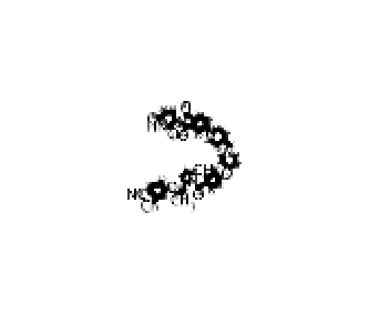 CC(CC1CCC(C)N1C(=O)c1ccc(OC2CCN(CC3CCN(c4ccc5c(c4)C(=O)N(C4CCC(=O)NC4=O)C5=O)CC3)CC2)cc1)Oc1ccc(C#N)c(Cl)c1